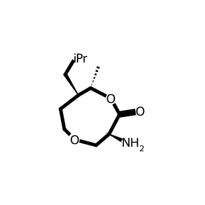 CC(C)C[C@@H]1CCOC[C@H](N)C(=O)O[C@H]1C